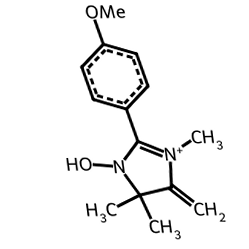 C=C1[N+](C)=C(c2ccc(OC)cc2)N(O)C1(C)C